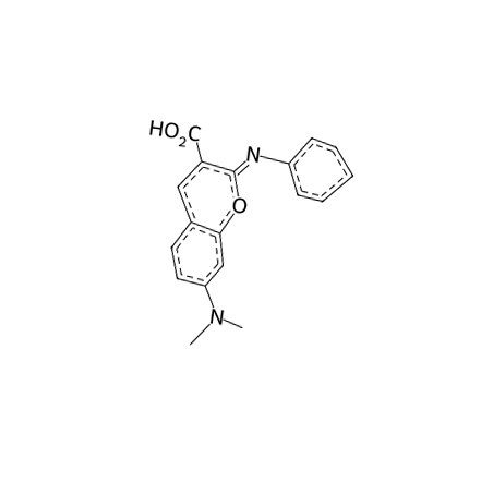 CN(C)c1ccc2cc(C(=O)O)c(=Nc3ccccc3)oc2c1